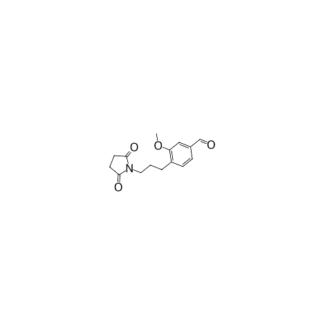 COc1cc(C=O)ccc1CCCN1C(=O)CCC1=O